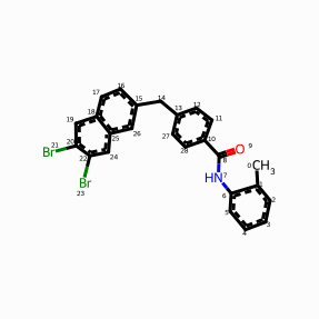 Cc1ccccc1NC(=O)c1ccc(Cc2ccc3cc(Br)c(Br)cc3c2)cc1